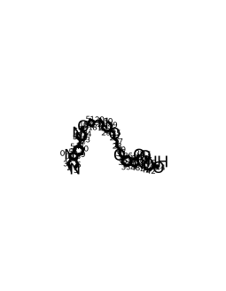 Cn1c2ccncc2c2ccc(-c3ccc(O[C@H]4C[C@H](CN5CCC(OCCCCOc6ccc7c(c6)C(=O)N(C6CCC(=O)NC6=O)C7)CC5)C4)nc3)cc21